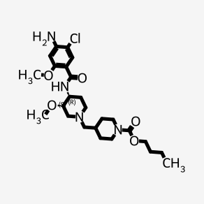 CCCCOC(=O)N1CCC(CN2CC[C@@H](NC(=O)c3cc(Cl)c(N)cc3OC)[C@@H](OC)C2)CC1